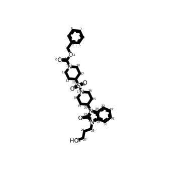 O=C(OCc1ccccc1)N1CCC(S(=O)(=O)N2CCC(n3c(=O)n(CCCO)c4ccccc43)CC2)CC1